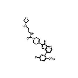 COc1ccc(F)cc1-c1ccnc2[nH]c(C3=CCN(C(=O)NCCNC4COC4)CC3)cc12